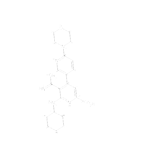 CC(=N)c1c(-c2ccc(N3CCOCC3)nc2)cc(C(=O)O)nc1NC1CCCCC1